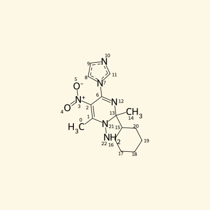 CC1=C([N+](=O)[O-])C(n2ccnc2)=NC(C)(C2CCCCC2)N1N